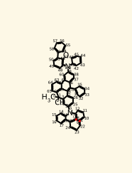 CC1(C)c2cc(N(c3ccccc3)c3ccccc3-c3ccccc3)ccc2-c2c(-c3ccccc3)c3ccc(N(c4ccccc4)c4cccc5c4oc4ccccc45)cc3c3cccc1c23